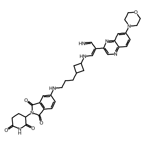 N=C/C(=C\NC1CC(CCCNc2ccc3c(c2)C(=O)N(C2CCC(=O)NC2=O)C3=O)C1)c1cnc2ccc(N3CCOCC3)cc2n1